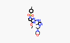 CCOc1nc(Nc2cnn(CC(C)N3CCOCC3)c2C)nc2c1ccn2S(=O)(=O)c1ccc(C)cc1